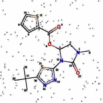 CN1CC(OC(=O)c2cccs2)N(c2nnc(C(C)(C)C)s2)C1=O